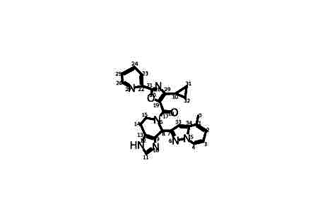 Cc1cccn2nc(C3c4nc[nH]c4CCN3C(=O)c3oc(-c4ccccn4)nc3C3CC3)cc12